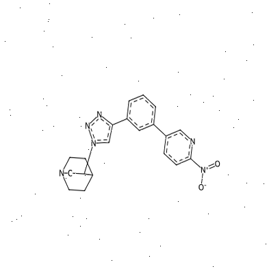 O=[N+]([O-])c1ccc(-c2cccc(-c3cn(C4CN5CCC4CC5)nn3)c2)cn1